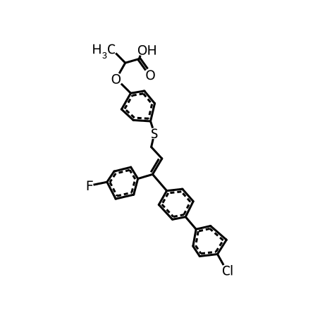 CC(Oc1ccc(SCC=C(c2ccc(F)cc2)c2ccc(-c3ccc(Cl)cc3)cc2)cc1)C(=O)O